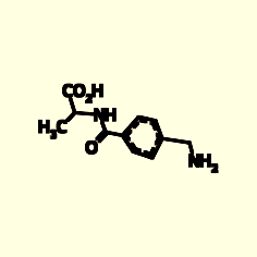 CC(NC(=O)c1ccc(CN)cc1)C(=O)O